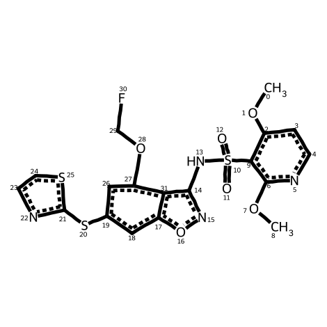 COc1ccnc(OC)c1S(=O)(=O)Nc1noc2cc(Sc3nccs3)cc(OCF)c12